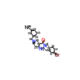 Cc1nc2c(c(=O)n1Cc1ccc(Br)cc1)CN(Cc1cccc(C#N)c1)CC2